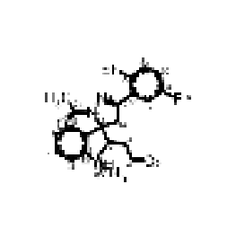 CCC(CC=O)C1(c2ccccc2C)CC(c2cc(F)ccc2F)=NN1C(C)=O